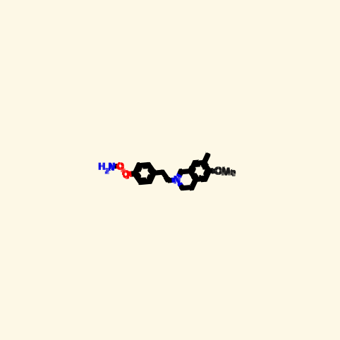 COc1cc2c(cc1C)CN(CCc1ccc(OON)cc1)CC2